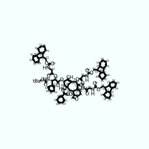 CC(=O)O[C@@]12COC1C[C@H](OC(=O)CNC(=O)OCC1c3ccccc3-c3ccccc31)C1(C)C(=O)[C@H](OC(=O)CNC(=O)OCC3c4ccccc4-c4ccccc43)C3=C(C)[C@@H](OC(=O)[C@H](OC(=O)CNC(=O)OCC4c5ccccc5-c5ccccc54)[C@@H](NC(=O)OC(C)(C)C)c4ccccc4)C[C@](O)(C3)[C@@H](OC(=O)c3ccccc3)C12